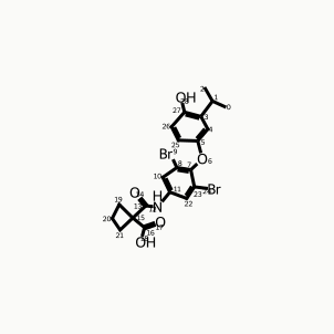 CC(C)c1cc(Oc2c(Br)cc(NC(=O)C3(C(=O)O)CCC3)cc2Br)ccc1O